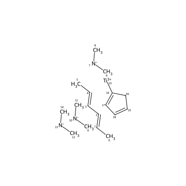 CC=CC=CC.C[N-]C.C[N-]C.C[N-]C.[Ti+3][C]1=CC=CC1